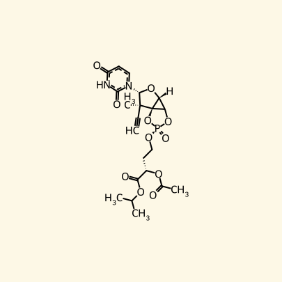 C#C[C@@]1(C)[C@H](n2ccc(=O)[nH]c2=O)O[C@@H]2C3O[P@@](=O)(OCC[C@H](OC(C)=O)C(=O)OC(C)C)O[C@]321